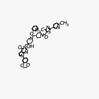 Cc1ccc(-c2nc(C)c(C(=O)N3CC[C@@H](C(=O)N4CCC(O)(Cn5cnc6c(ccn6-c6ccc7c(c6)OCCO7)c5=O)CC4)[C@H](c4ccccc4)C3)s2)cn1